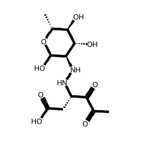 CC(=O)C(=O)[C@H](CC(=O)O)NN[C@H]1C(O)O[C@H](C)[C@@H](O)[C@@H]1O